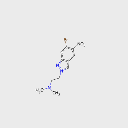 CN(C)CCn1cc2cc([N+](=O)[O-])c(Br)cc2n1